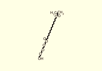 C=C(C)C(=O)OCCCCCCCCCCCCCCCC(=O)OCCOCCOCCOCCO